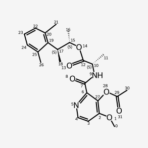 COc1ccnc(C(=O)N[C@@H](C)C(=O)O[C@@H](C)[C@@H](C)c2c(C)cccc2C)c1OC(C)=O